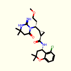 COCC[C@H]([C@@H]1C[C@H]1C(=O)N[C@H]1CC(C)(C)Oc2cccc(Cl)c21)N1C(=N)NC(C)(C)CC1=O